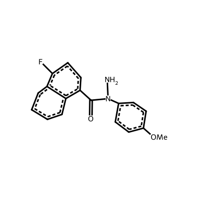 COc1ccc(N(N)C(=O)c2ccc(F)c3ccccc23)cc1